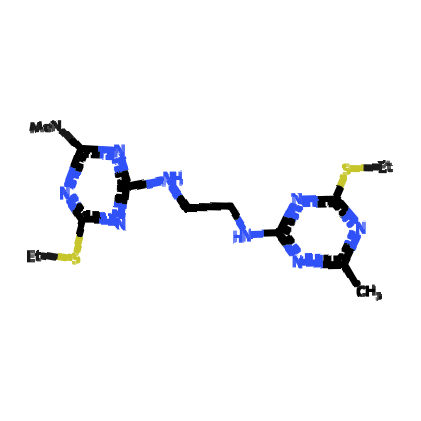 CCSc1nc(C)nc(NCCNc2nc(NC)nc(SCC)n2)n1